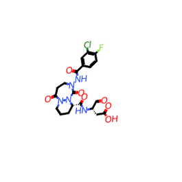 O=C[C@H](CC(=O)O)NC(=O)[C@@H]1CCCN2C(=O)CCN(NC(=O)c3ccc(F)c(Cl)c3)C(=O)N12